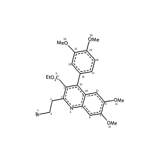 CCOC(=O)c1c(CCBr)nc2cc(OC)c(OC)cc2c1-c1ccc(OC)c(OC)c1